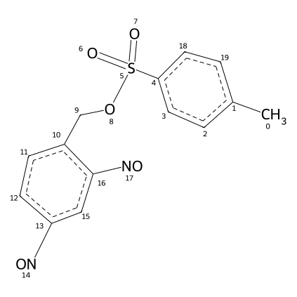 Cc1ccc(S(=O)(=O)OCc2ccc(N=O)cc2N=O)cc1